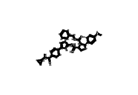 COc1ccc([C@H]2SCC(C(=O)Nc3nc(-c4ccc(C(=O)NC5CC5)cc4)cs3)N2C(=O)OCc2ccccc2)cc1